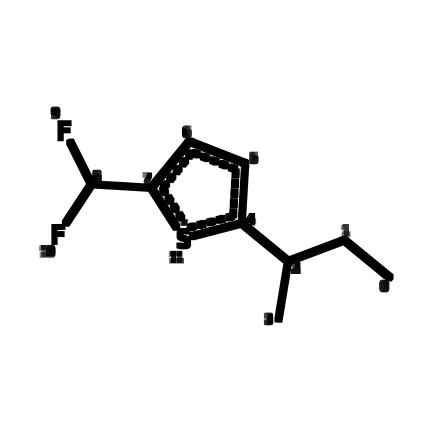 CCC(C)c1ccc(C(F)F)s1